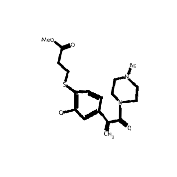 C=C(C(=O)N1CCN(C(C)=O)CC1)c1ccc(SCCC(=O)OC)c(Cl)c1